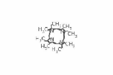 C=CC1=C(C)C2=CC3=NC(=CC4=NC(=CC5=NC(=CC1=N2)C(C)=C5CC)C(C)=C4CC)C(C)=C3CC